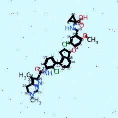 COc1cc(OC2CCc3c(-c4cccc(NC(=O)c5nn6c(c5C)CCN(C)C6)c4Cl)cccc32)c(Cl)cc1CNC1(C(=O)O)CC1